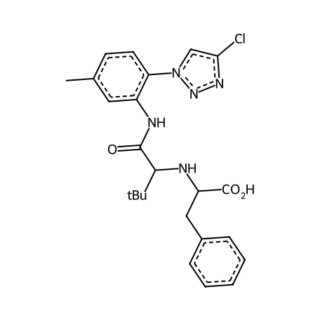 Cc1ccc(-n2cc(Cl)nn2)c(NC(=O)C(NC(Cc2ccccc2)C(=O)O)C(C)(C)C)c1